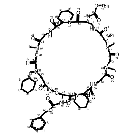 CC(C)[C@H]1C(=O)NC[C@@H](NC(=O)OC(C)(C)C)C(=O)N2CCCC[C@H]2C(=O)NCC(=O)N(C)CC(=O)N(C)[C@@H](C2CCCCC2)C(=O)NC[C@@H](NC(=O)OCc2ccccc2)C(=O)N2CCCC[C@H]2C(=O)NCC(=O)N(C)CC(=O)N1C